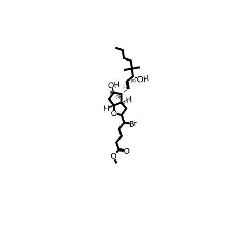 CCCCC(C)(C)[C@H](O)/C=C/[C@@H]1[C@H]2CC(C(Br)CCCC(=O)OC)O[C@@H]2C[C@H]1O